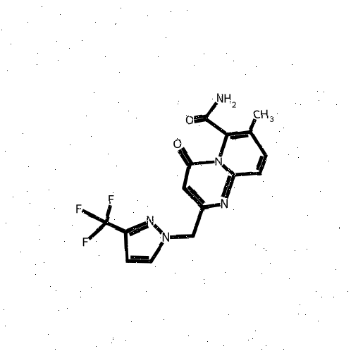 Cc1ccc2nc(Cn3ccc(C(F)(F)F)n3)cc(=O)n2c1C(N)=O